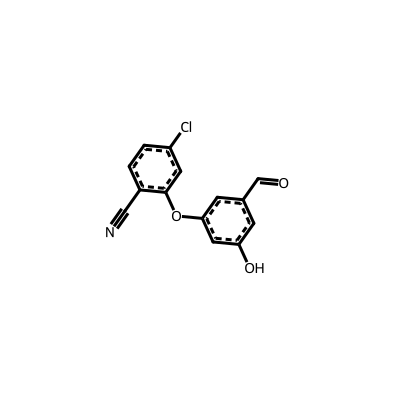 N#Cc1ccc(Cl)cc1Oc1cc(O)cc(C=O)c1